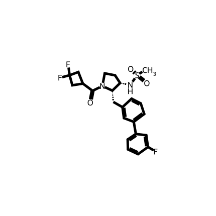 CS(=O)(=O)N[C@H]1CCN(C(=O)C2CC(F)(F)C2)[C@H]1Cc1cccc(-c2cccc(F)c2)c1